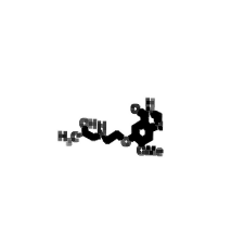 COc1cc2nc[nH]c(=O)c2cc1OCCNC[C@H](C)O